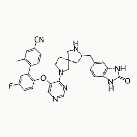 Cc1cc(C#N)ccc1-c1cc(F)ccc1Oc1cncnc1N1CCC2(CNC(Cc3ccc4[nH]c(=O)[nH]c4c3)C2)C1